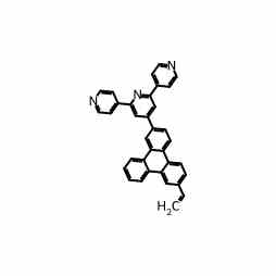 C=Cc1ccc2c3ccc(-c4cc(-c5ccncc5)nc(-c5ccncc5)c4)cc3c3ccccc3c2c1